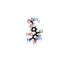 N#Cc1c(O)c2c(-c3ccc(OCC(N)=O)cc3)c(Cl)sc2[nH]c1=O